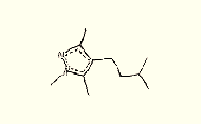 Cc1nn(C)c(C)c1CCC(C)C